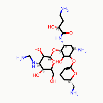 NCC[C@H](O)C(=O)N[C@@H]1C[C@H](N)C(OC2=CCC[C@@H](CN)O2)C(O)[C@H]1O[C@H]1OC(CO)[C@@H](O)[C@H](NCN)C1O